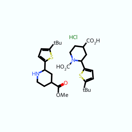 CC(C)(C)c1ccc(C2CC(C(=O)O)CCN2C(=O)O)s1.COC(=O)C1CCNC(c2ccc(C(C)(C)C)s2)C1.Cl